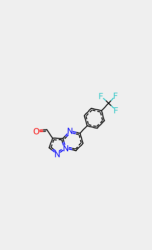 O=Cc1cnn2ccc(-c3ccc(C(F)(F)F)cc3)nc12